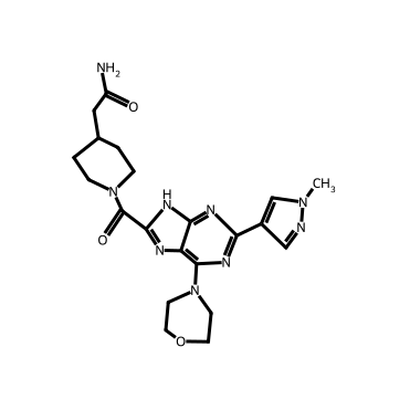 Cn1cc(-c2nc(N3CCOCC3)c3nc(C(=O)N4CCC(CC(N)=O)CC4)[nH]c3n2)cn1